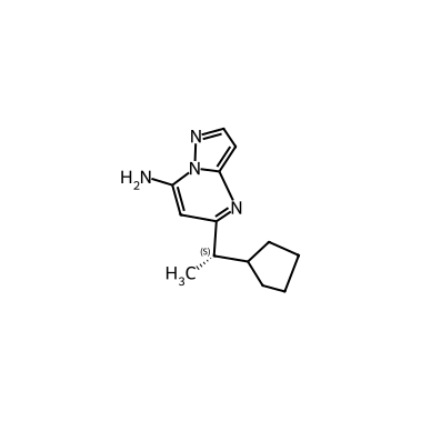 C[C@H](c1cc(N)n2nccc2n1)C1CCCC1